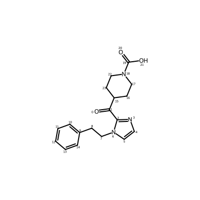 O=C(c1nccn1CCc1ccccc1)C1CCN(C(=O)O)CC1